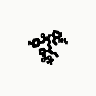 CC/C=C(\CCCN(C[C@@H]1CC=NC(N)=C1CC)C(=O)Cc1ccc(F)cc1)[C@@H]1CCCN1C(=O)OC(C)(C)C